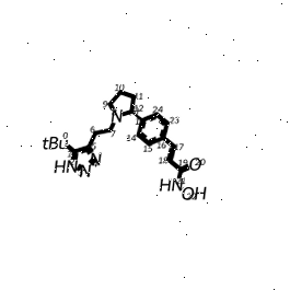 CC(C)(C)c1[nH]nnc1CCN1CCC[C@H]1c1ccc(C=CC(=O)NO)cc1